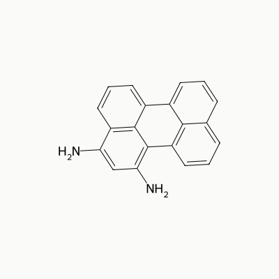 Nc1cc(N)c2c3cccc4cccc(c5cccc1c52)c43